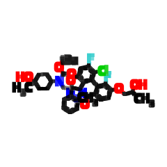 C[C@H](O)COc1ccc(C(N)=O)c(-c2c(Cl)c(F)cc3c2[C@H](C)[C@@](CN(C(=O)OC(C)(C)C)C2CCC(C)(O)CC2)(c2ccccc2)O3)c1F